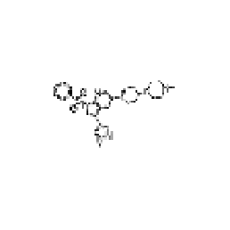 CN1CCN(C2CC=C(c3cnc4c(c3)c(-c3cnn(C)c3)cn4S(=O)(=O)c3ccccc3)CC2)CC1